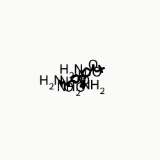 CC(C)(C)OC(=O)C1CCN(c2ccc(C(=O)N=C(N)N)cc2S(N)(=O)=O)C(N)C1